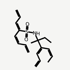 C=C/C=C\C(=C\C=C)S(=O)(=O)NC(C)(CC)C(/C=C\C)=C/C=C